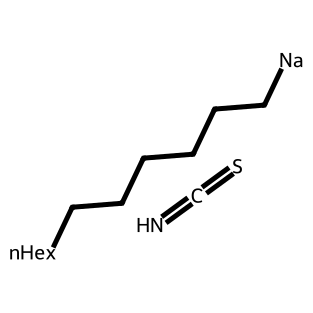 CCCCCCCCCCC[CH2][Na].N=C=S